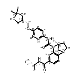 C[C@@H](NC(=O)c1ccc2c(n1)N(C(=O)Nc1ccc(OC[C@@H]3COC(C)(C)O3)nn1)[C@H]1CCN2C1)C(F)(F)F